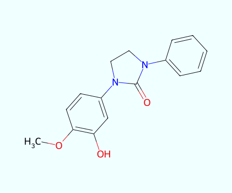 COc1ccc(N2CCN(c3ccccc3)C2=O)cc1O